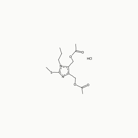 CCCn1c(SC)nc(COC(C)=O)c1COC(C)=O.Cl